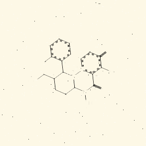 CCc1ccccc1C1C(CC(F)(F)F)CCC2N(C)C(=O)c3c(O)c(=O)ccn3N12